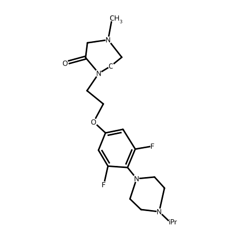 CC(C)N1CCN(c2c(F)cc(OCCN3CCN(C)CC3=O)cc2F)CC1